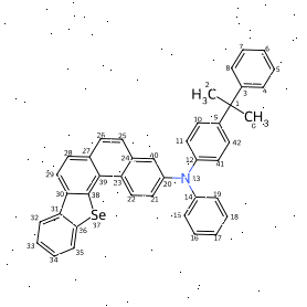 CC(C)(c1ccccc1)c1ccc(N(c2ccccc2)c2ccc3c(ccc4ccc5c6ccccc6[se]c5c43)c2)cc1